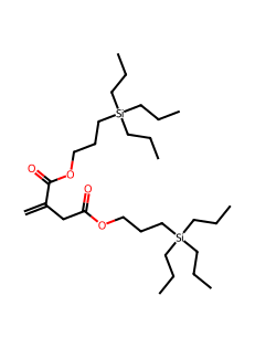 C=C(CC(=O)OCCC[Si](CCC)(CCC)CCC)C(=O)OCCC[Si](CCC)(CCC)CCC